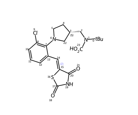 CC(C)(C)N(C[C@H]1CCN(c2c(Cl)cccc2/C=C2\SC(=O)NC2=O)C1)C(=O)O